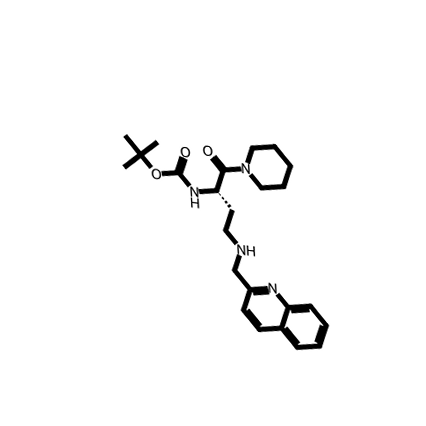 CC(C)(C)OC(=O)N[C@@H](CCNCc1ccc2ccccc2n1)C(=O)N1CCCCC1